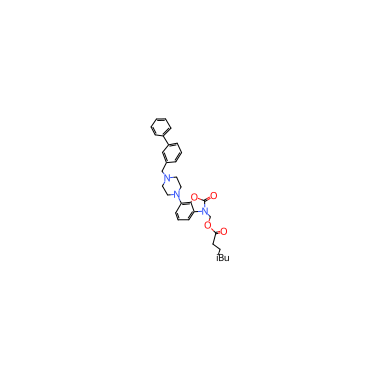 CCC(C)CCC(=O)OCn1c(=O)oc2c(N3CCN(Cc4cccc(-c5ccccc5)c4)CC3)cccc21